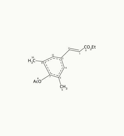 CCOC(=O)C=Cc1cc(C)c(OC(C)=O)c(C)c1